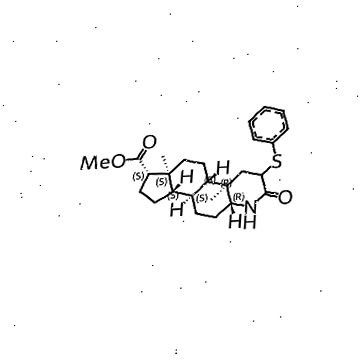 COC(=O)[C@H]1CC[C@H]2[C@@H]3CC[C@H]4NC(=O)C(Sc5ccccc5)C[C@]4(C)[C@H]3CC[C@]12C